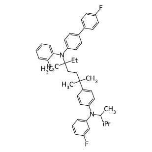 CCC(C)(CCC(C)(C)c1ccc(N(c2cccc(F)c2)C(C)C(C)C)cc1)N(c1ccc(-c2ccc(F)cc2)cc1)c1ccccc1C